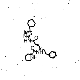 O=C(C=C[C@H](CCc1ccccc1)NC(=O)[C@@H]1CCCCN1)Nc1nnc(C2CCCCC2)s1